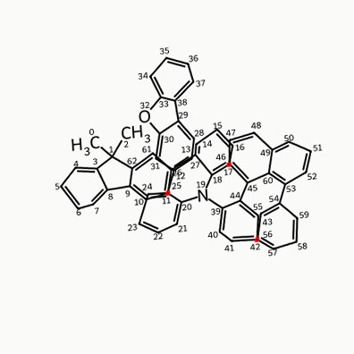 CC1(C)c2ccccc2-c2ccc(-c3ccccc3N(c3ccccc3-c3ccc4c(c3)oc3ccccc34)c3ccccc3-c3cccc4cccc(-c5ccccc5)c34)cc21